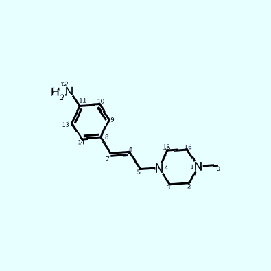 CN1CCN(C/C=C/c2ccc(N)cc2)CC1